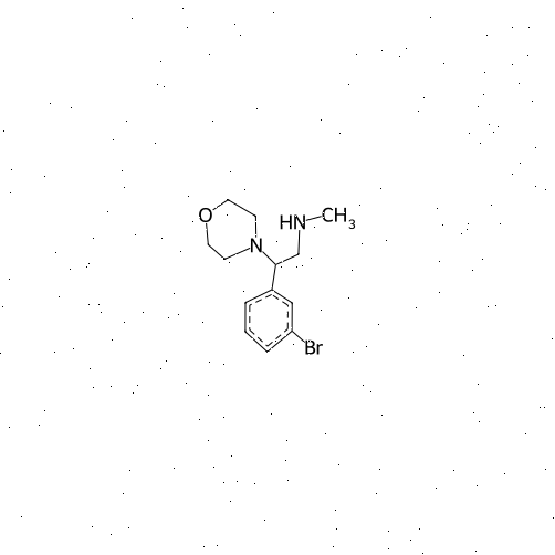 CNCC(c1cccc(Br)c1)N1CCOCC1